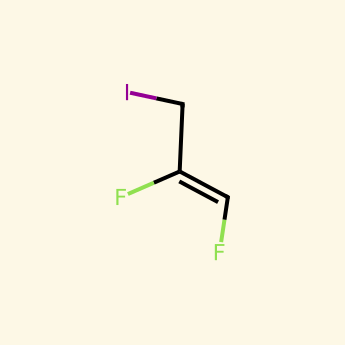 FC=C(F)CI